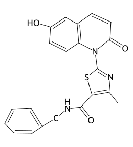 Cc1nc(-n2c(=O)ccc3cc(O)ccc32)sc1C(=O)NCc1ccccc1